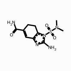 CN(C)S(=O)(=O)n1c(N)nc2c1CCC(C(N)=O)=C2